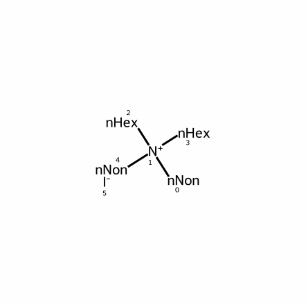 CCCCCCCCC[N+](CCCCCC)(CCCCCC)CCCCCCCCC.[I-]